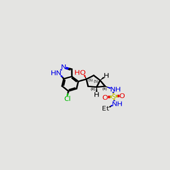 CCNS(=O)(=O)N[C@H]1[C@@H]2C[C@](O)(c3cc(Cl)cc4[nH]ncc34)C[C@@H]21